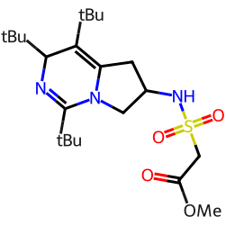 COC(=O)CS(=O)(=O)NC1CC2=C(C(C)(C)C)C(C(C)(C)C)N=C(C(C)(C)C)N2C1